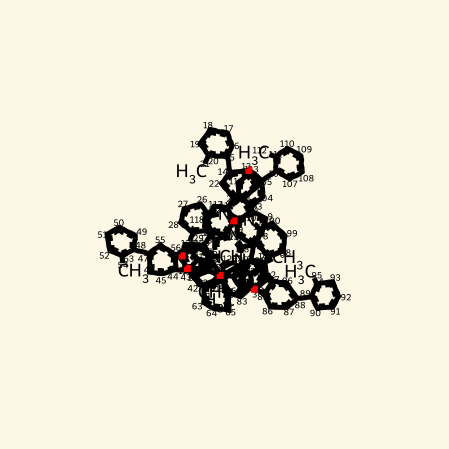 Cc1ccccc1-c1ccc2c3ccc(-c4ccccc4C)cc3n(-c3cccc(-n4c5cc(-c6ccccc6C)ccc5c5ccc(-c6ccccc6C)cc54)c3-c3nc(-c4ccccc4)nc(-c4c(-n5c6cc(-c7ccccc7C)ccc6c6ccc(-c7ccccc7C)cc65)cccc4-n4c5cc(-c6ccccc6C)ccc5c5ccc(-c6ccccc6C)cc54)n3)c2c1